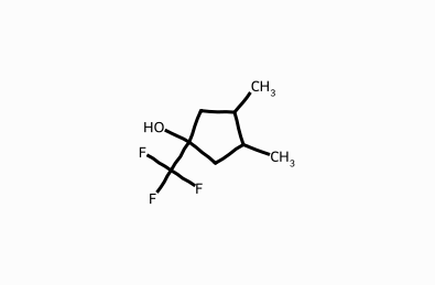 CC1CC(O)(C(F)(F)F)CC1C